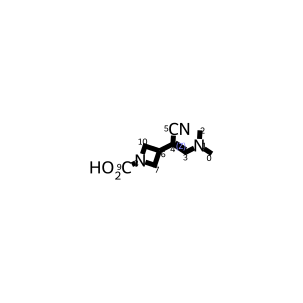 CN(C)/C=C(\C#N)C1CN(C(=O)O)C1